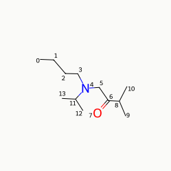 CCCCN(CC(=O)C(C)C)C(C)C